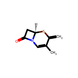 C=C1S[C@@H]2CC(=O)N2C=C1C